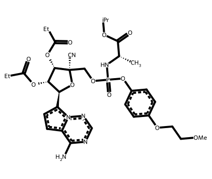 CCC(=O)O[C@H]1[C@H](c2ccc3c(N)ncnn23)O[C@](C#N)(COP(=O)(N[C@@H](C)C(=O)OC(C)C)Oc2ccc(OCCOC)cc2)[C@H]1OC(=O)CC